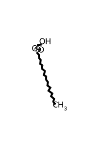 CCCCCCCCCCCCCCCCCCCCS(=O)(=O)CCO